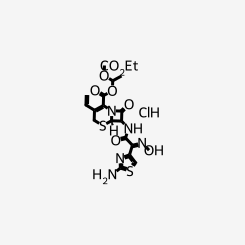 C=CC1=C(C(=O)OC(C)OC(=O)OCC)N2C(=O)C(NC(=O)C(=NO)c3csc(N)n3)[C@@H]2SC1.Cl